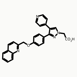 O=C(O)Cn1cc(-c2ccncc2)c(-c2ccc(OCc3ccc4ccccc4n3)cc2)n1